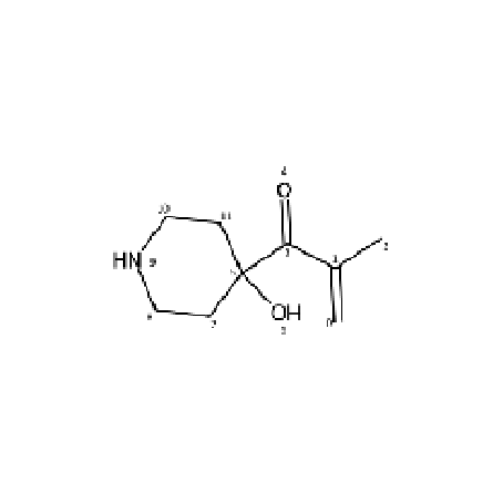 C=C(C)C(=O)C1(O)CCNCC1